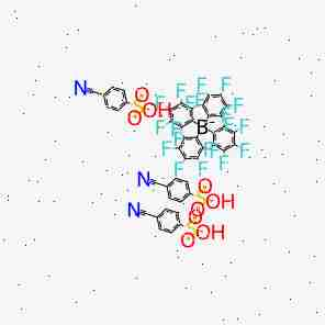 Fc1c(F)c(F)c([B-](c2c(F)c(F)c(F)c(F)c2F)(c2c(F)c(F)c(F)c(F)c2F)c2c(F)c(F)c(F)c(F)c2F)c(F)c1F.N#Cc1ccc(S(=O)(=O)O)cc1.N#Cc1ccc(S(=O)(=O)O)cc1.N#Cc1ccc(S(=O)(=O)O)cc1